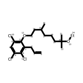 C=CCc1c(Cl)c(Cl)cc(Cl)c1OCCC(C)CCCC(C)(C)OCC